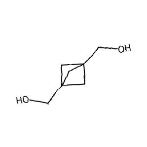 OCC12CC(CO)(C1)C2